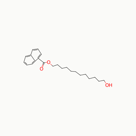 O=C(OCCCCCCCCCCCCO)c1cccc2ccccc12